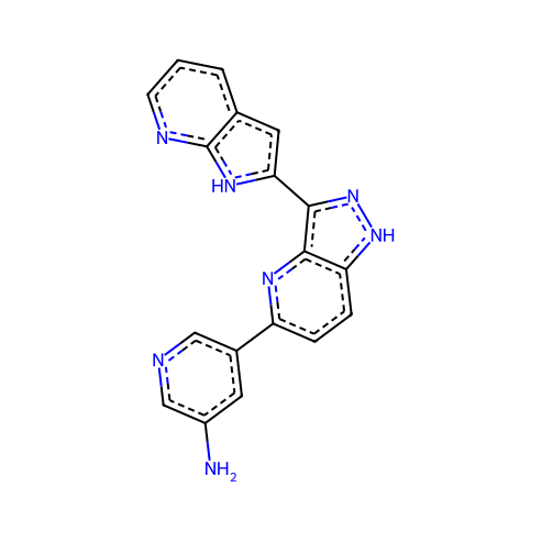 Nc1cncc(-c2ccc3[nH]nc(-c4cc5cccnc5[nH]4)c3n2)c1